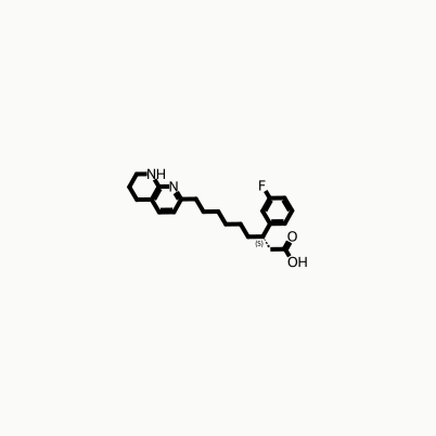 O=C(O)C[C@H](CCCCCCc1ccc2c(n1)NCCC2)c1cccc(F)c1